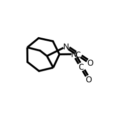 O=C=NC1CCC2CCC1C(N=C=O)C2